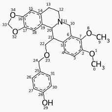 COc1ccc2c(c1OC)CN1CCc3cc4c(cc3C1C2COCc1ccc(O)cc1)OCO4